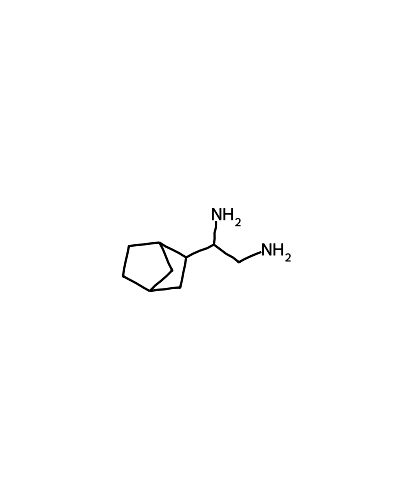 NCC(N)C1CC2CCC1C2